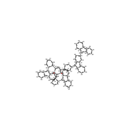 c1ccc(-n2c3ccccc3c3ccncc32)c(-c2nc(-c3ccc(-n4c5ccccc5c5cc(-n6c7ccccc7c7ccccc76)ccc54)cc3)nc(-c3ccccc3-n3c4ccccc4c4ccncc43)n2)c1